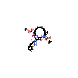 CC(C)(C)OC(=O)N[C@H]1CCCCC/C=C\[C@@H]2C[C@@]2(C(=O)NS(=O)(=O)C2CC2)NC(=O)[C@@H]2C[C@@H](NC(=O)c3cc4ccccc4s3)CN2C1=O